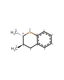 C[C@@H]1[CH]c2ccccc2S[C@H]1C